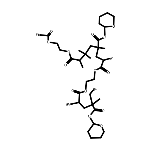 CCC(=O)OCCOC(=O)C(C)C(C)(C)CC(C)(CC(C(=O)OCCOC(=O)C(CC(C)(CC(C)C)C(=O)OC1CCCCO1)C(C)C)C(C)C)C(=O)OC1CCCCO1